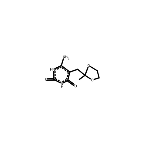 CC1(Cc2c(N)[nH]c(=S)[nH]c2=O)OCCO1